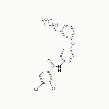 O=C(O)CNCc1cccc(Oc2ccc(NC(=O)c3ccc(Cl)c(Cl)c3)cn2)c1